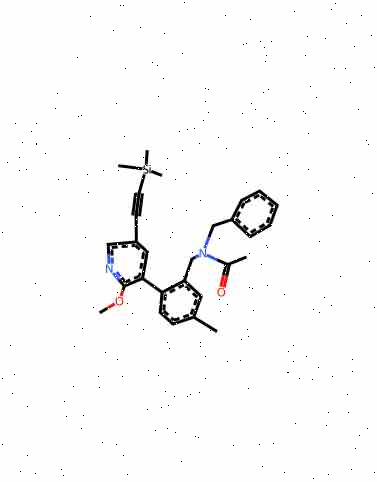 COc1ncc(C#C[Si](C)(C)C)cc1-c1ccc(C)cc1CN(Cc1ccccc1)C(C)=O